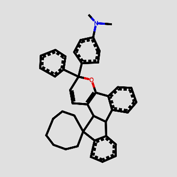 CN(C)c1ccc(C2(c3ccccc3)C=CC3=C(O2)c2ccccc2C2c4ccccc4C4(CCCCCCC4)C32)cc1